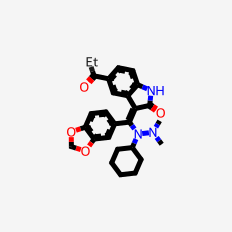 CCC(=O)c1ccc2c(c1)/C(=C(\c1ccc3c(c1)OCO3)N(C1CCCCC1)N(C)C)C(=O)N2